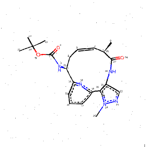 C[C@@H]1C=CC[C@H](NC(=O)OC(C)(C)C)c2cccc(n2)-c2c(cnn2C)NC1=O